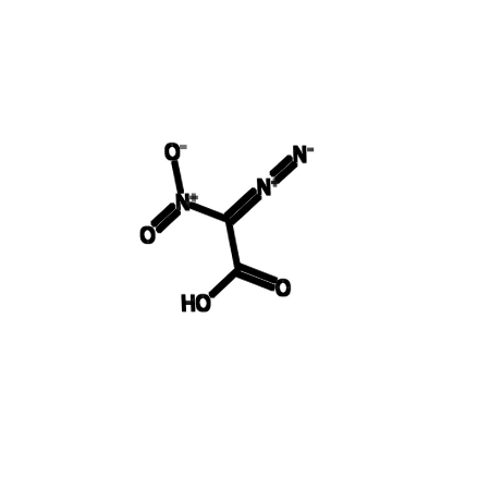 [N-]=[N+]=C(C(=O)O)[N+](=O)[O-]